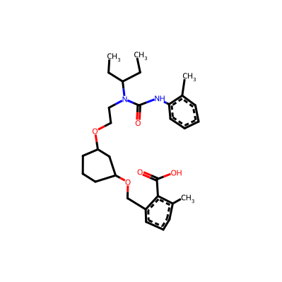 CCC(CC)N(CCOC1CCCC(OCc2cccc(C)c2C(=O)O)C1)C(=O)Nc1ccccc1C